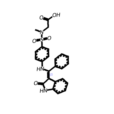 CN(CC(=O)O)S(=O)(=O)c1ccc(N/C(=C2\C(=O)Nc3ccccc32)c2ccccc2)cc1